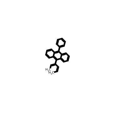 C/C=C\C(=C/C)c1c2ccccc2c(-c2ccccc2)c2ccccc12